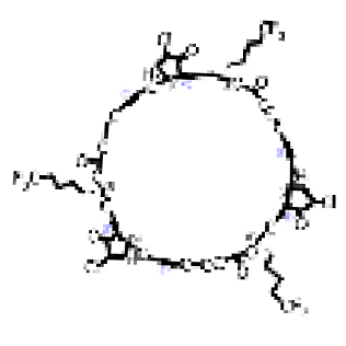 O=C1CCC/C=C\C[C@H]2C=C(Cl)C(=O)/C2=C/C[C@H](CCCCC(F)(F)F)OC(=O)CCC/C=C\C[C@H]2C=C(Cl)C(=O)/C2=C/C[C@H](CCCCC(F)(F)F)OC(=O)CCC/C=C\C[C@H]2C=C(Cl)C(=O)/C2=C/C[C@H](CCCCC(F)(F)F)O1